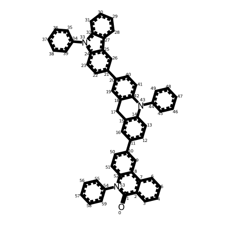 O=c1c2ccccc2c2cc(-c3ccc4c(c3)Cc3cc(-c5ccc6c(c5)c5ccccc5n6-c5ccccc5)ccc3N4c3ccccc3)ccc2n1-c1ccccc1